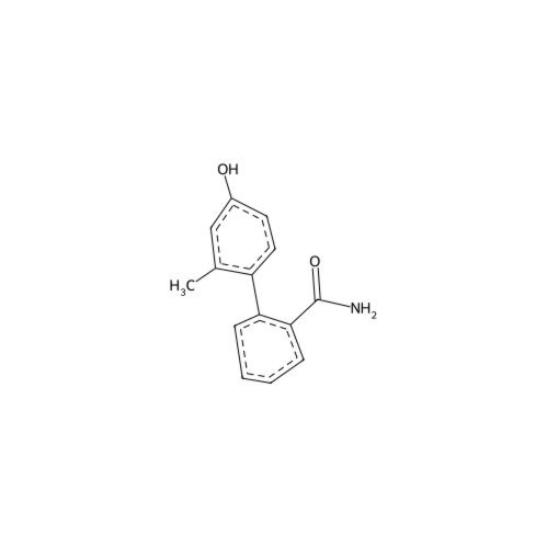 Cc1cc(O)ccc1-c1ccccc1C(N)=O